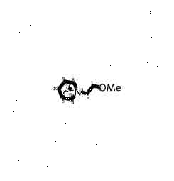 COCCN1CC2CCC1CC2